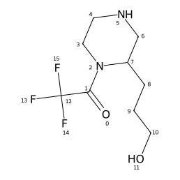 O=C(N1CCNCC1CCCO)C(F)(F)F